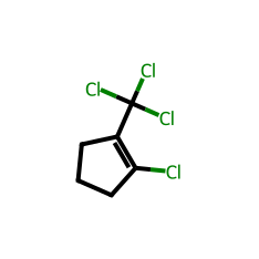 ClC1=C(C(Cl)(Cl)Cl)CCC1